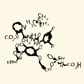 C#CCOc1cc(-n2nc(C(C)(C)C)oc2=O)c(Cl)cc1Cl.C/C(=N\NC(=O)Nc1cc(F)cc(F)c1)c1ncccc1C(=O)O.C[S+](C)C.O=C(O)CNCP(=O)([O-])O